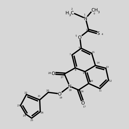 CN(C)C(=S)Oc1cc2c3c(cccc3c1)C(=O)N(OCc1ccccc1)C2=O